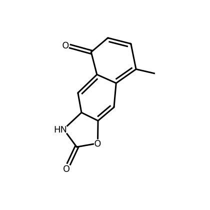 CC1=C2C=C3OC(=O)NC3C=C2C(=O)C=C1